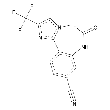 N#Cc1ccc2c(c1)NC(=O)Cn1cc(C(F)(F)F)nc1-2